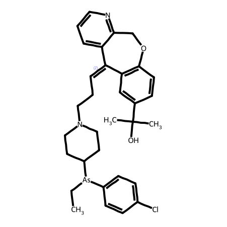 CC[As](c1ccc(Cl)cc1)C1CCN(CC/C=C2\c3cc(C(C)(C)O)ccc3OCc3ncccc32)CC1